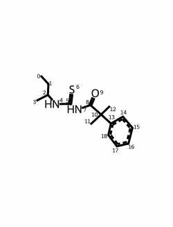 CCC(C)NC(=S)NC(=O)C(C)(C)c1ccccc1